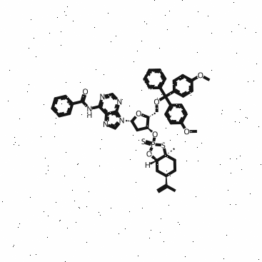 C=C(C)[C@@H]1CC[C@]2(C)SP(=S)(O[C@H]3C[C@H](n4cnc5c(NC(=O)c6ccccc6)ncnc54)O[C@@H]3COC(c3ccccc3)(c3ccc(OC)cc3)c3ccc(OC)cc3)O[C@H]2C1